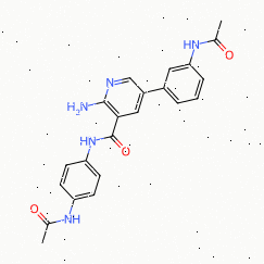 CC(=O)Nc1ccc(NC(=O)c2cc(-c3cccc(NC(C)=O)c3)cnc2N)cc1